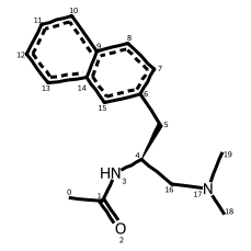 CC(=O)N[C@@H](Cc1ccc2ccccc2c1)CN(C)C